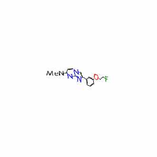 CNc1ccn2cc(-c3cccc(OCCF)c3)nc2n1